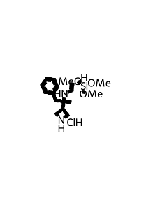 C=CNC(C)(Cc1ccccc1)C1CNC1.CO[SiH](OC)OC.Cl